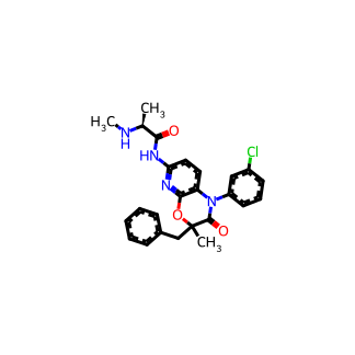 CN[C@@H](C)C(=O)Nc1ccc2c(n1)OC(C)(Cc1ccccc1)C(=O)N2c1cccc(Cl)c1